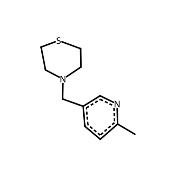 Cc1ccc(CN2CCSCC2)cn1